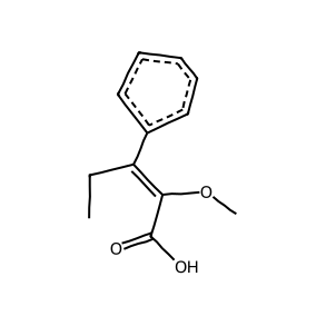 CCC(=C(OC)C(=O)O)c1ccccc1